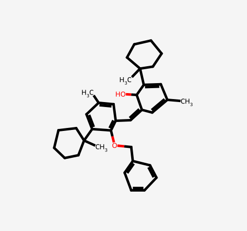 CC1=CC(=Cc2cc(C)cc(C3(C)CCCCC3)c2OCc2ccccc2)C(O)C(C2(C)CCCCC2)=C1